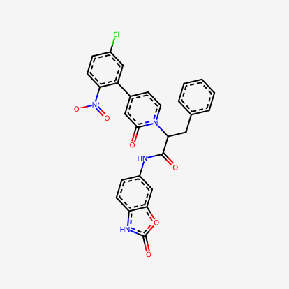 O=C(Nc1ccc2[nH]c(=O)oc2c1)C(Cc1ccccc1)n1ccc(-c2cc(Cl)ccc2[N+](=O)[O-])cc1=O